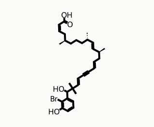 C[C@@H](C/C=C\C(=O)O)CCC[C@H](C)/C=C/[C@@H](C)C/C=C/C#C/C=C/C(C)(C)C(O)c1cccc(O)c1Br